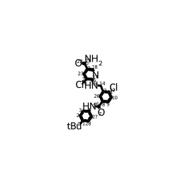 CC(C)(C)c1ccc(NC(=O)c2ccc(Cl)c(CNc3ncc(C(N)=O)cc3Cl)c2)cc1